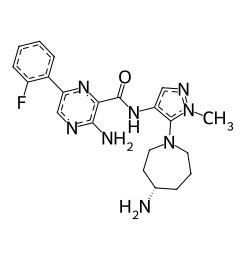 Cn1ncc(NC(=O)c2nc(-c3ccccc3F)cnc2N)c1N1CCC[C@H](N)CC1